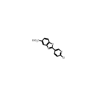 CCOC(=O)c1ccc2oc(-c3ccc(Cl)nc3)nc2c1